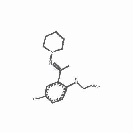 COCNc1ccc(Cl)cc1/C(C)=N/N1CCCCC1